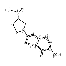 CN(C)C1CCN(c2ccc3c(=O)c(C(=O)O)c[nH]c3c2)C1